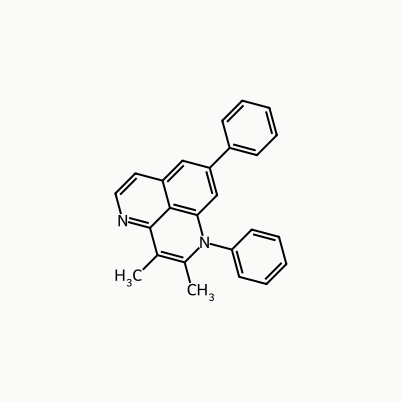 CC1=C(C)N(c2ccccc2)c2cc(-c3ccccc3)cc3ccnc1c23